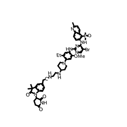 CCc1cc(Nc2ncc(Br)c(Nc3ccc4nc(C)ccc4c3P(C)(C)=O)n2)c(OC)cc1N1CCC(NCCNCCc2ccc3c(c2)C(C)(C)C(=O)N3C2CCC(=O)NC2=O)CC1